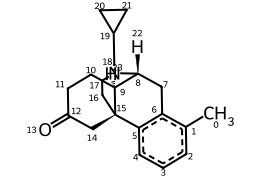 Cc1cccc2c1C[C@@H]1[C@@H]3CCC(=O)C[C@]23CCN1C1CC1